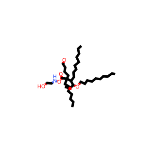 CCCCCCCCCCOC(CC)C(CCCCCCCCC)C(CCCC=O)(CCCCCCC)C(=O)ONCCO